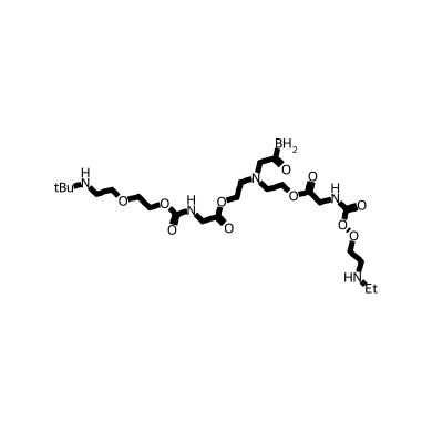 BC(=O)CN(CCOC(=O)CNC(=O)OCCOCCNC(C)(C)C)CCOC(=O)CNC(=O)OOCCNCC